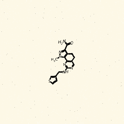 Cn1nc(C(N)=O)c2c1-c1nc(NCc3ccsc3)ncc1CC2